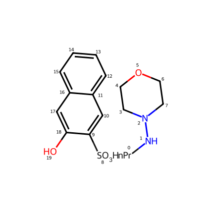 CCCNN1CCOCC1.O=S(=O)(O)c1cc2ccccc2cc1O